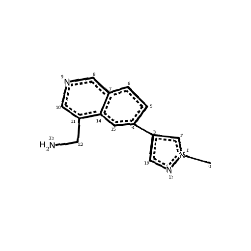 Cn1cc(-c2ccc3cncc(CN)c3c2)cn1